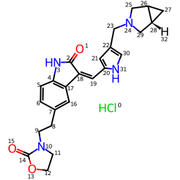 Cl.O=C1Nc2ccc(CCN3CCOC3=O)cc2C1=Cc1cc(CN2CC3C[C@@H]3C2)c[nH]1